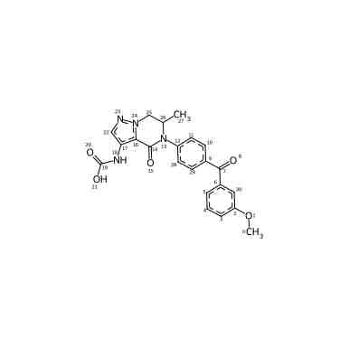 COc1cccc(C(=O)c2ccc(N3C(=O)c4c(NC(=O)O)cnn4CC3C)cc2)c1